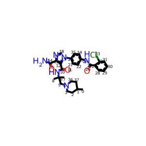 CC1CCN(CC(C)(C)NC(=O)c2c(C(N)=O)ncn2-c2ccc(NC(=O)c3ccccc3Cl)cc2)CC1